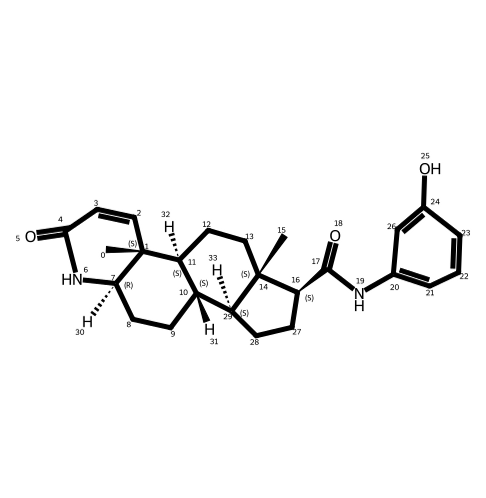 C[C@]12C=CC(=O)N[C@@H]1CC[C@@H]1[C@@H]2CC[C@]2(C)[C@@H](C(=O)Nc3cccc(O)c3)CC[C@@H]12